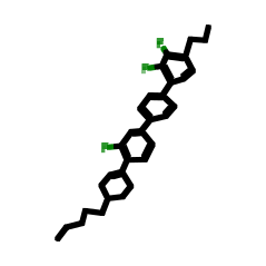 CCCCCC1CC=C(c2ccc(-c3ccc(-c4ccc(CCC)c(F)c4F)cc3)cc2F)CC1